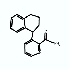 NC(=O)c1ncccc1C1CCCc2ccccc21